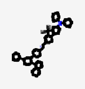 CCC1(CC)c2cc(/C=C/c3ccc(-c4cc(-c5ccccc5)ccc4-c4cccc5ccccc45)cc3)ccc2-c2ccc(N(c3ccccc3)c3ccccc3)cc21